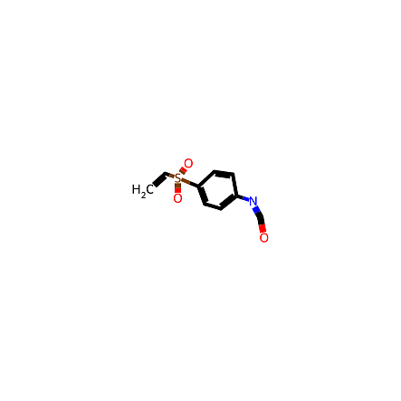 C=CS(=O)(=O)c1ccc(N=C=O)cc1